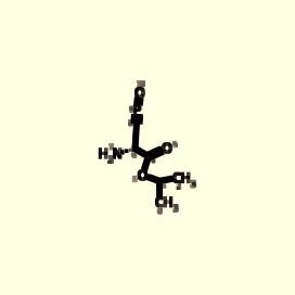 CC(C)OC(=O)[C@H](N)C#P=O